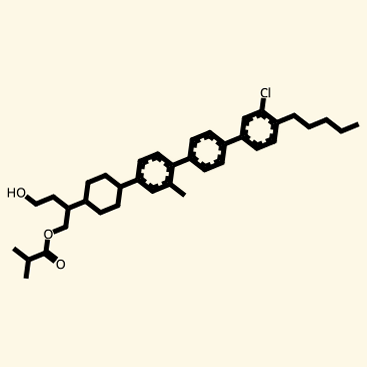 CCCCCc1ccc(-c2ccc(-c3ccc(C4CCC(C(CCO)COC(=O)C(C)C)CC4)cc3C)cc2)cc1Cl